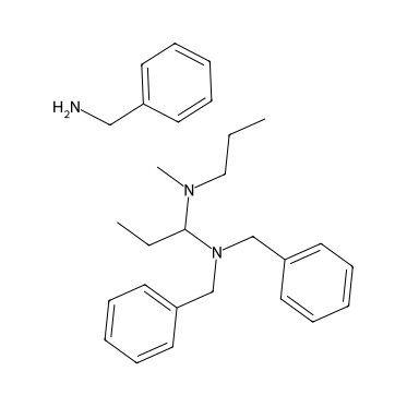 CCCN(C)C(CC)N(Cc1ccccc1)Cc1ccccc1.NCc1ccccc1